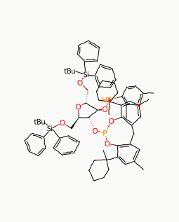 Cc1ccc(PO[C@H]2[C@H](OP3Oc4c(cc(C)cc4C4(C)CCCCC4)Cc4cc(C)cc(C5(C)CCCCC5)c4O3)[C@@H](CO[Si](c3ccccc3)(c3ccccc3)C(C)(C)C)O[C@@H]2CO[Si](c2ccccc2)(c2ccccc2)C(C)(C)C)c(C)c1